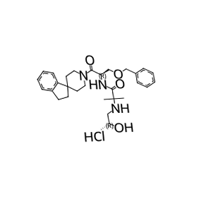 C[C@@H](O)CNC(C)(C)C(=O)N[C@H](COCc1ccccc1)C(=O)N1CCC2(CCc3ccccc32)CC1.Cl